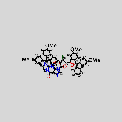 COc1ccc(C(OC[C@H]2O[C@@H](n3cnc4c(=O)n5ccn(C(c6ccccc6)(c6ccc(OC)cc6)c6ccc(OC)cc6)c5nc43)[C@H](O)[C@@H]2F)(c2ccccc2)c2ccc(OC)cc2)cc1